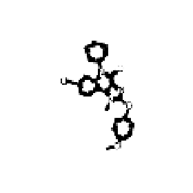 COc1ccc(Oc2nc3c(=O)n(-c4ccccc4)c4cc(Cl)ccc4c3n2C)cc1